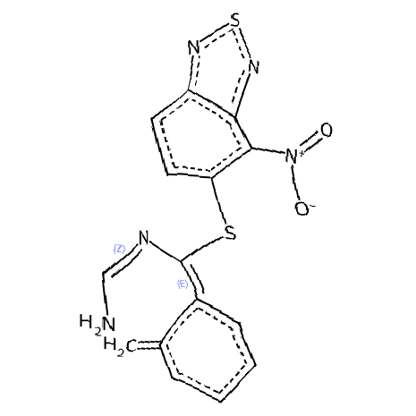 C=c1cccc/c1=C(/N=C\N)Sc1ccc2nsnc2c1[N+](=O)[O-]